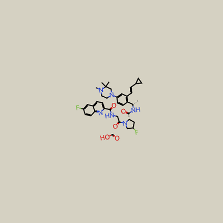 C[C@H](NC(=O)[C@@H]1C[C@@H](F)CN1C(=O)CNC(=O)c1ccc2cc(F)ccc2n1)c1ccc(N2CCN(C)C(C)(C)C2)cc1/C=C/C1CC1.O=CO